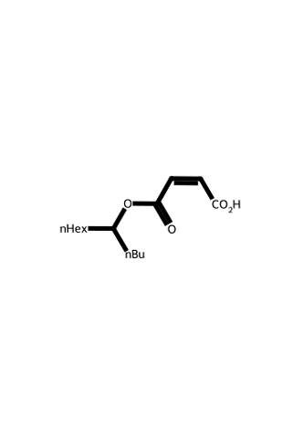 CCCCCCC(CCCC)OC(=O)/C=C\C(=O)O